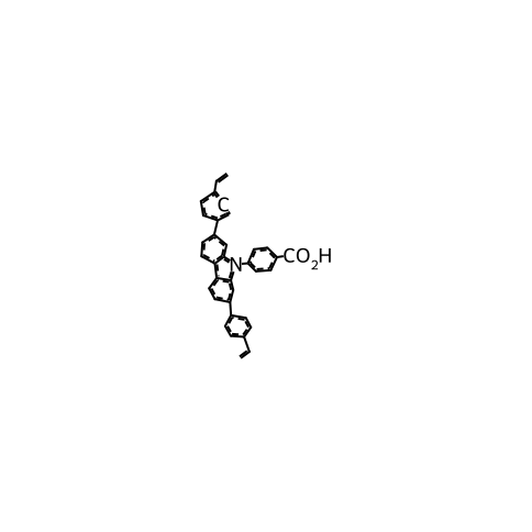 C=Cc1ccc(-c2ccc3c4ccc(-c5ccc(C=C)cc5)cc4n(-c4ccc(C(=O)O)cc4)c3c2)cc1